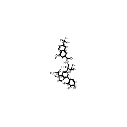 COc1cc(C(=O)NC[C@](O)(c2cc3c(c(-c4ccc(F)c(F)c4F)n2)OC[C@]3(C)C(N)=O)C(F)(F)F)cc2cc(C(F)(F)F)cnc12